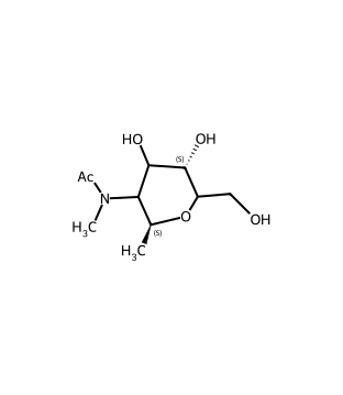 CC(=O)N(C)C1C(O)[C@H](O)C(CO)O[C@H]1C